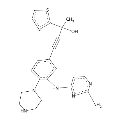 CC(O)(C#Cc1ccc(N2CCNCC2)c(Nc2ccnc(N)n2)c1)c1nccs1